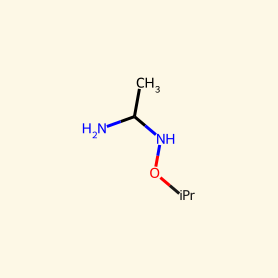 CC(N)NOC(C)C